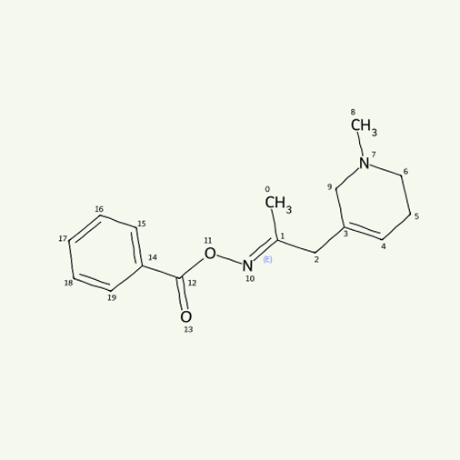 C/C(CC1=CCCN(C)C1)=N\OC(=O)c1ccccc1